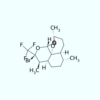 C[C@@H]1CC[C@H]2[C@@H](C)[C@](Br)(C(F)(F)F)O[C@@H]3O[C@]4(C)CC[C@@H]1[C@]32OO4